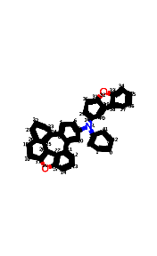 c1ccc(N(c2ccc3c(c2)-c2cccc4oc5ccc6cccc-3c6c5c24)c2ccc3oc4ccccc4c3c2)cc1